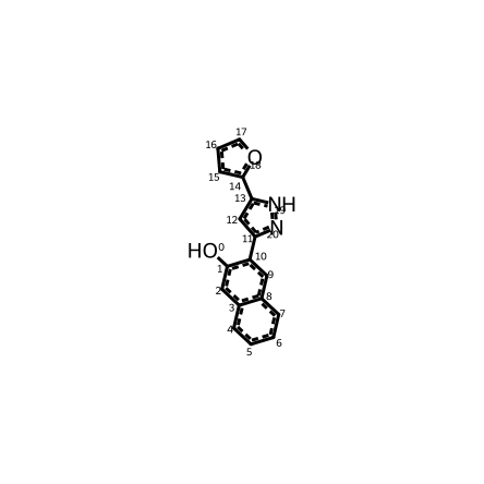 Oc1cc2ccccc2cc1-c1cc(-c2ccco2)[nH]n1